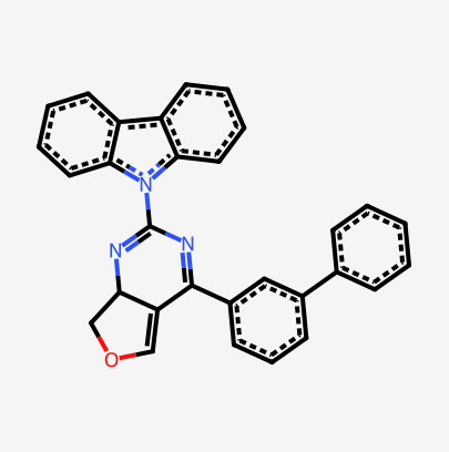 C1=C2C(c3cccc(-c4ccccc4)c3)=NC(n3c4ccccc4c4ccccc43)=NC2CO1